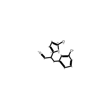 O=CC(Cc1cccc(Cl)c1)c1ccc(Cl)s1